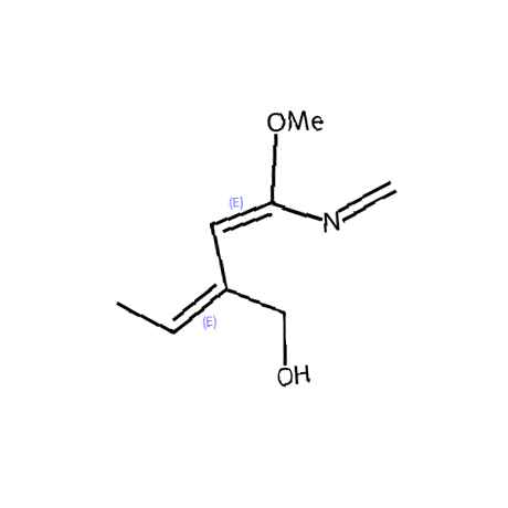 C=N/C(=C\C(=C/C)CO)OC